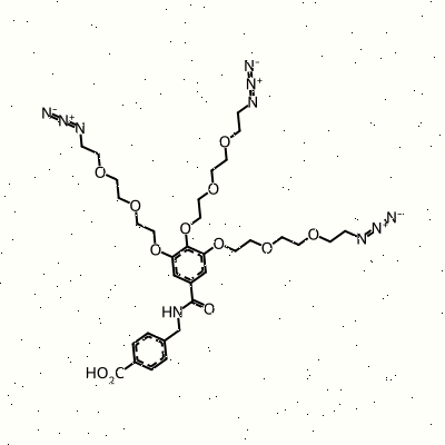 [N-]=[N+]=NCCOCCOCCOc1cc(C(=O)NCc2ccc(C(=O)O)cc2)cc(OCCOCCOCCN=[N+]=[N-])c1OCCOCCOCCN=[N+]=[N-]